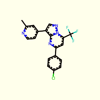 Cc1cc(-c2cnn3c(C(F)(F)F)cc(-c4ccc(Cl)cc4)nc23)ccn1